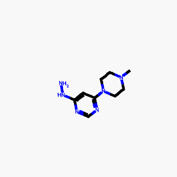 CN1CCN(c2cc(NN)ncn2)CC1